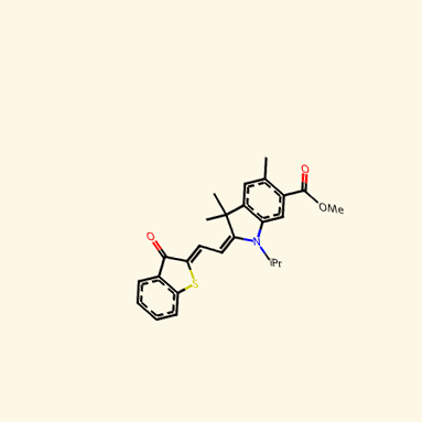 COC(=O)c1cc2c(cc1C)C(C)(C)/C(=C\C=C1/Sc3ccccc3C1=O)N2C(C)C